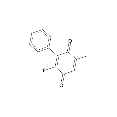 CC1=CC(=O)C(F)=C(c2ccccc2)C1=O